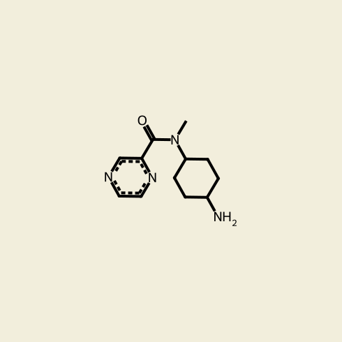 CN(C(=O)c1cnccn1)C1CCC(N)CC1